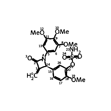 C=C1C(=O)N(c2cc(OC)c(OC)c(OC)c2)[C@H]1c1ccc(OC)c(OS(N)(=O)=O)c1